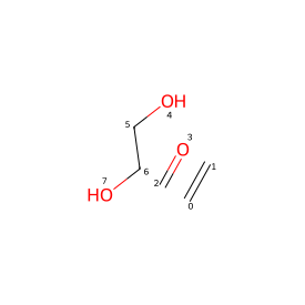 C=C.C=O.OCCO